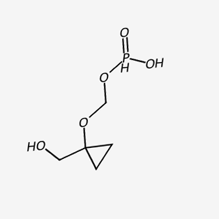 O=[PH](O)OCOC1(CO)CC1